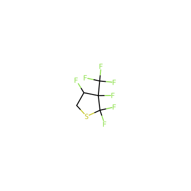 FC1CSC(F)(F)C1(F)C(F)(F)F